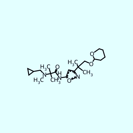 CN(CC1CC1)C(C)(C)C(=O)Nc1cc(C(C)(C)COC2CCCCO2)no1